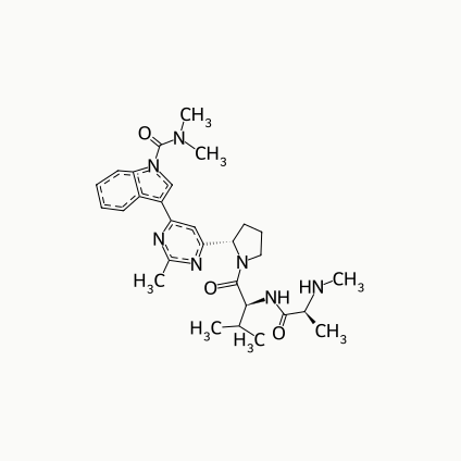 CN[C@@H](C)C(=O)N[C@H](C(=O)N1CCC[C@H]1c1cc(-c2cn(C(=O)N(C)C)c3ccccc23)nc(C)n1)C(C)C